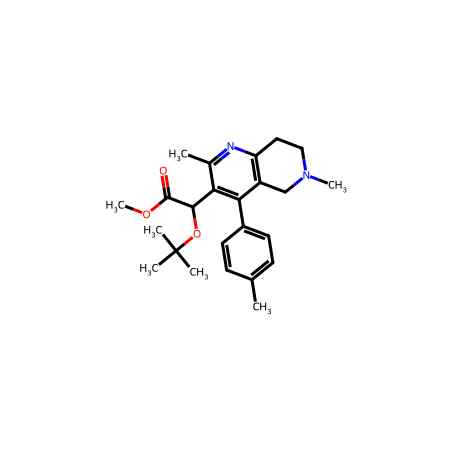 COC(=O)C(OC(C)(C)C)c1c(C)nc2c(c1-c1ccc(C)cc1)CN(C)CC2